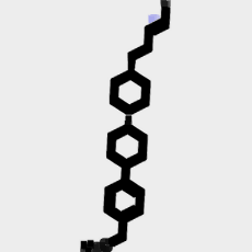 COCc1ccc(C2CCC([C@H]3CC[C@H](CC/C=C/F)CC3)CC2)cc1